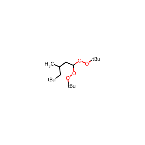 CC(CC(OOC(C)(C)C)OOC(C)(C)C)CC(C)(C)C